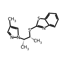 Cc1cnn([C@@H](C)[C@@H](C)Sc2nc3ccccc3s2)c1